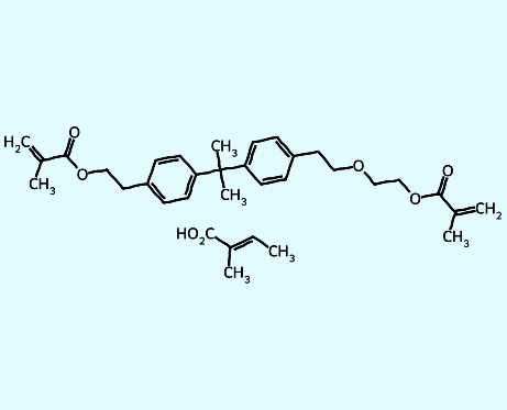 C=C(C)C(=O)OCCOCCc1ccc(C(C)(C)c2ccc(CCOC(=O)C(=C)C)cc2)cc1.CC=C(C)C(=O)O